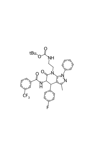 Cc1nn(-c2ccccc2)c2c1C(c1ccc(F)cc1)C(NC(=O)c1cccc(C(F)(F)F)c1)C(=O)N2CCNC(=O)OC(C)(C)C